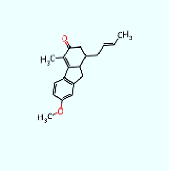 CC=CCC1CC(=O)C(C)=C2c3ccc(OC)cc3CC21